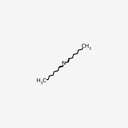 CCCCCCC=C[N]C=CCCCCCC